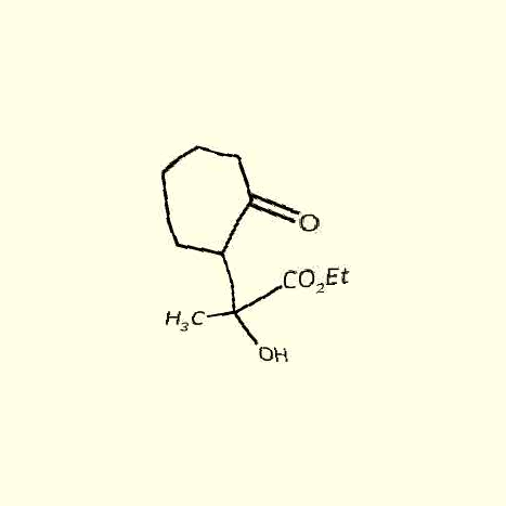 CCOC(=O)C(C)(O)C1CCCCC1=O